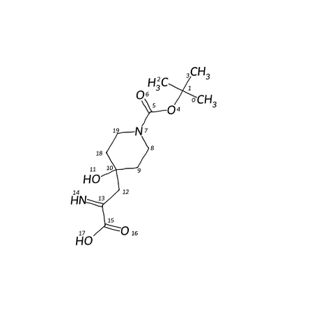 CC(C)(C)OC(=O)N1CCC(O)(CC(=N)C(=O)O)CC1